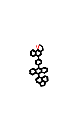 c1ccc2c3c(cc(-c4ccc(-c5c6ccccc6c(-c6ccc7c8c(cccc68)CC7)c6ccccc56)cc4)c2c1)CCCO3